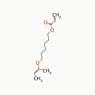 C=CC(=O)OCCCCCCO/C(C)=C/C